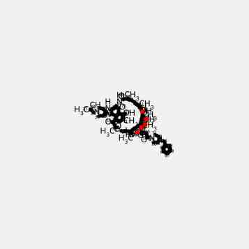 CO[C@H]1/C=C/O[C@@]2(C)Oc3c(C)c(O)c4c(c3C2=O)C2=NC3(CCN(CC(C)C)CC3)NC2=C(NC(=O)/C(C)=C\C=C\[C@H](C)[C@H](O)[C@@H](C)[C@@H](O)[C@@H](C)[C@H](OC(=O)CC(=O)N2CCN(Cc3ccccc3)CC2)[C@@H]1C)C4=O